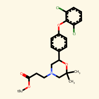 CC(C)(C)OC(=O)CCN1CC(c2ccc(Oc3c(Cl)cccc3Cl)cc2)OC(C)(C)C1